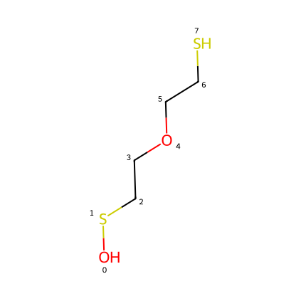 OSCCOCCS